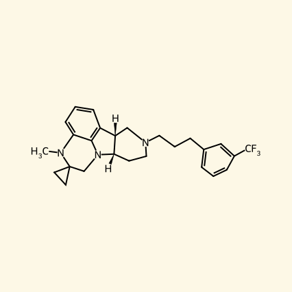 CN1c2cccc3c2N(CC12CC2)[C@H]1CCN(CCCc2cccc(C(F)(F)F)c2)C[C@@H]31